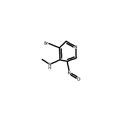 CNc1c(Br)cncc1N=O